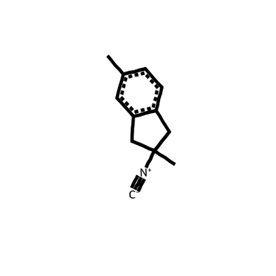 [C-]#[N+]C1(C)Cc2ccc(C)cc2C1